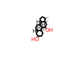 C[C@H]1CC[C@H]2[C@@H]3CC[C@@H]4C[C@H](O)CC[C@]4(C)[C@H]3[C@@H](O)C[C@]12C